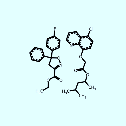 CC(C)CC(C)OC(=O)COc1ccc(Cl)c2cccnc12.CCOC(=O)C1=NOC(c2ccccc2)(c2ccc(F)cc2)C1